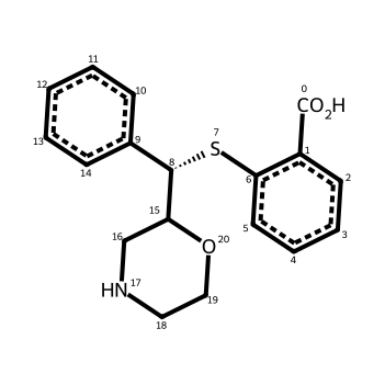 O=C(O)c1ccccc1S[C@@H](c1ccccc1)C1CNCCO1